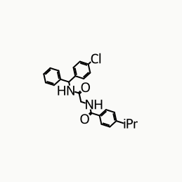 CC(C)c1ccc(C(=O)NCC(=O)NC(c2ccccc2)c2ccc(Cl)cc2)cc1